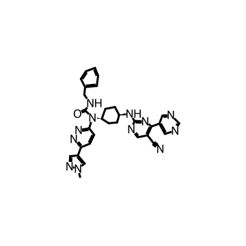 Cn1cc(-c2ccc(N(C(=O)NCc3ccccc3)[C@H]3CC[C@H](Nc4ncc(C#N)c(-c5cncnc5)n4)CC3)nn2)cn1